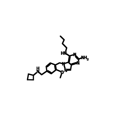 CCCCNc1nc(N)nc2cnn(Cc3ccc(CNC4CCC4)cc3OC)c12